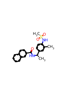 Cc1cc([C@@H](C)NC(=O)c2ccc3ccccc3c2)ccc1NS(C)(=O)=O